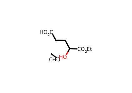 CC=O.CCOC(=O)C(O)CCC(=O)O